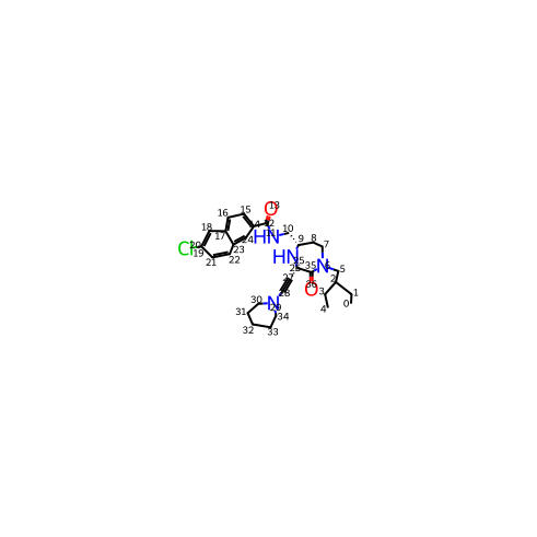 CCC(CC)CN1CC[C@@H](CNC(=O)c2ccc3cc(Cl)ccc3c2)N[C@@H](C#CN2CCCCC2)C1=O